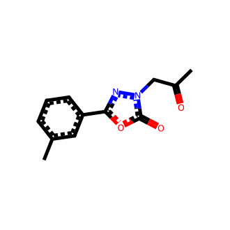 CC(=O)Cn1nc(-c2cccc(C)c2)oc1=O